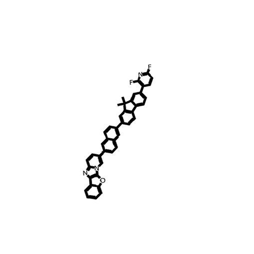 CC1(C)c2cc(-c3ccc4cc(-c5ccc6nc7c8ccccc8oc7n6c5)ccc4c3)ccc2-c2ccc(-c3ccc(F)nc3F)cc21